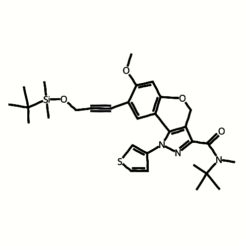 COc1cc2c(cc1C#CCO[Si](C)(C)C(C)(C)C)-c1c(c(C(=O)N(C)C(C)(C)C)nn1-c1ccsc1)CO2